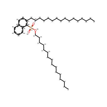 CCCCCCCCCCCCCCCCOS(=O)(=O)c1c(CCCCCCCCCCCCCCCC)ccc2ccccc12